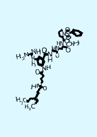 C=CCC(CC)CCC(=O)NCCCC(=O)Nc1cc(NC(=N)N)cc(C(=O)NCC(=O)NCC(NC(=O)C2CCCN2S(=O)(=O)c2ccccc2)C(=O)O)c1